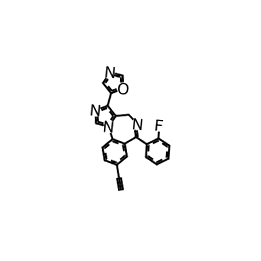 C#Cc1ccc2c(c1)C(c1ccccc1F)=NCc1c(-c3cnco3)ncn1-2